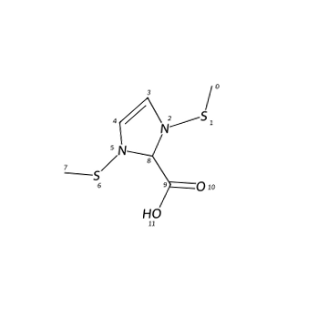 CSN1C=CN(SC)C1C(=O)O